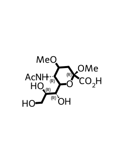 COC1C[C@](OC)(C(=O)O)OC([C@H](O)[C@H](O)CO)[C@@H]1NC(C)=O